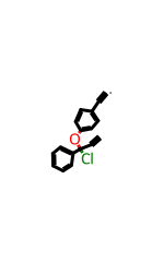 [C]#Cc1ccc(OC(Cl)(C#C)c2ccccc2)cc1